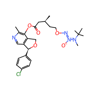 Cc1ncc2c(c1OC(=O)C[C@@H](C)CCO/N=[N+](\[O-])N(C)C(C)(C)C)CO[C@H]2c1ccc(Cl)cc1